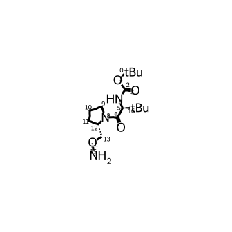 CC(C)(C)OC(=O)N[C@H](C(=O)N1CCC[C@H]1CON)C(C)(C)C